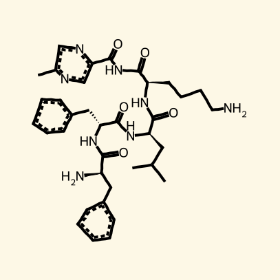 Cc1cnc(C(=O)NC(=O)[C@@H](CCCCN)NC(=O)[C@@H](CC(C)C)NC(=O)[C@@H](Cc2ccccc2)NC(=O)[C@H](N)Cc2ccccc2)cn1